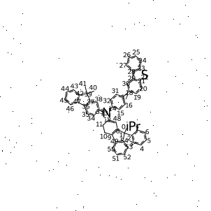 CC(C)C1(c2ccccc2)C2=C(CCC(N(c3ccc(-c4ccc5sc6ccccc6c5c4)cc3)c3ccc4c(c3)C(C)(C)c3ccccc3-4)=C2)c2ccccc21